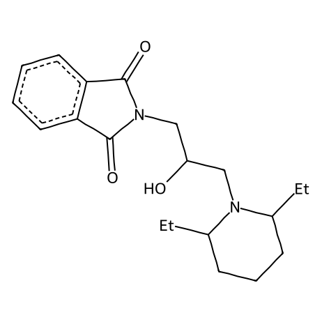 CCC1CCCC(CC)N1CC(O)CN1C(=O)c2ccccc2C1=O